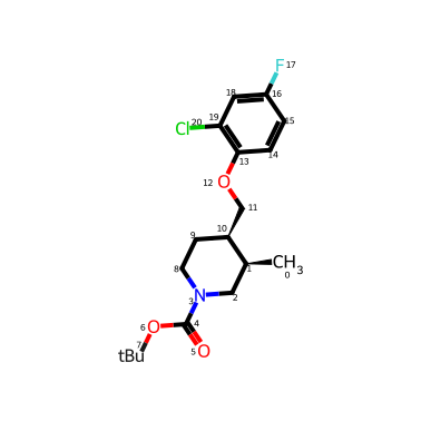 C[C@H]1CN(C(=O)OC(C)(C)C)CC[C@H]1COc1ccc(F)cc1Cl